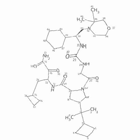 CC(C)(C1CCC1)C1CC(C(=O)NC(CC2CCC2)C(=O)C(N)=O)N(C(=O)CNC(=O)N[C@H](CN2CCOCC2(C)C)C2CCCCC2)C1